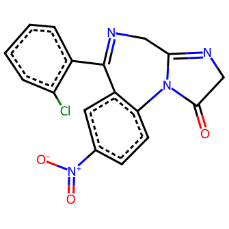 O=C1CN=C2CN=C(c3ccccc3Cl)c3cc([N+](=O)[O-])ccc3N12